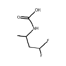 CC(CC(F)F)NC(=O)O